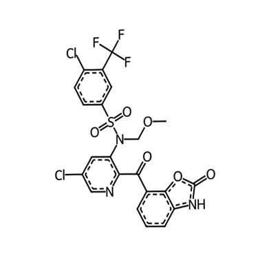 COCN(c1cc(Cl)cnc1C(=O)c1cccc2[nH]c(=O)oc12)S(=O)(=O)c1ccc(Cl)c(C(F)(F)F)c1